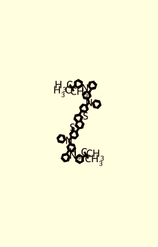 CC(C)(C)c1cccc(-n2c3ccccc3c3cc(N(c4ccccc4)c4ccc5c(c4)sc4c5ccc5c4ccc4c6ccc(N(c7ccccc7)c7ccc8c(c7)c7ccccc7n8-c7cccc(C(C)(C)C)c7)cc6sc45)ccc32)c1